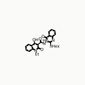 CCCCCCc1nc2ccccc2c(=O)n1NC(=O)c1c(O)c2ccccc2n(CC)c1=O